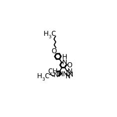 CCCCCCOc1ccc(-c2cc(-c3ccn(CC(C)C)c3)c(-c3nnn[nH]3)c(=O)[nH]2)cc1